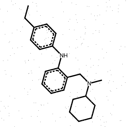 CCc1ccc(Nc2ccccc2CN(C)C2CCCCC2)cc1